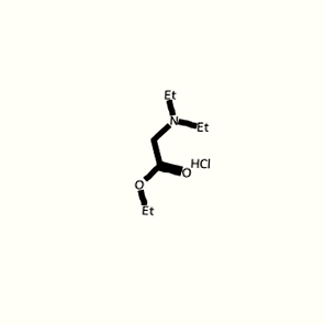 CCOC(=O)CN(CC)CC.Cl